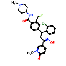 CN1CCC(NC(=O)c2ccc(C(C/C(=N/O)c3ccc(=O)n(C)c3)c3ccccc3Cl)cc2CF)CC1